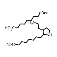 CCCCCCCCCCCCCCCCCC(=O)O.CCCCCCCCCCCCCCCCCC1NCCN1CCN